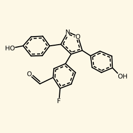 O=Cc1cc(-c2c(-c3ccc(O)cc3)noc2-c2ccc(O)cc2)ccc1F